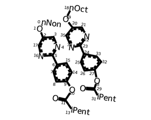 CCCCCCCCCOc1cnc(-c2ccc(OC(=O)C(C)CCC)cc2)nc1.CCCCCCCCOc1cnc(-c2ccc(OC(=O)C(C)CCC)cc2)nc1